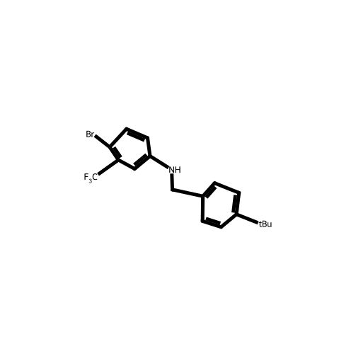 CC(C)(C)c1ccc(CNc2ccc(Br)c(C(F)(F)F)c2)cc1